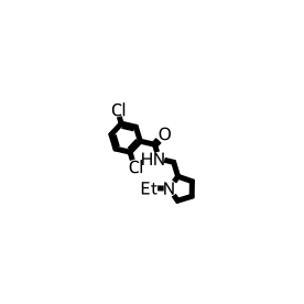 CCN1CCCC1CNC(=O)c1cc(Cl)ccc1Cl